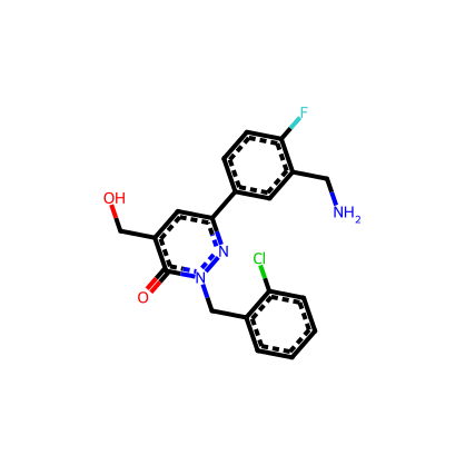 NCc1cc(-c2cc(CO)c(=O)n(Cc3ccccc3Cl)n2)ccc1F